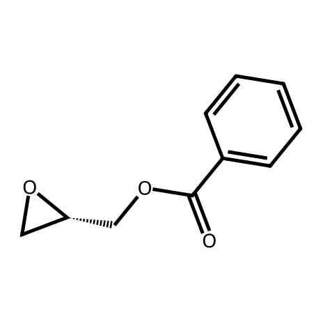 O=C(OC[C@@H]1CO1)c1ccccc1